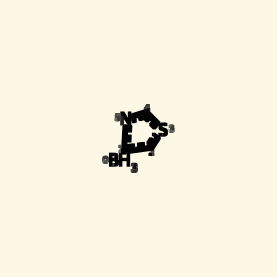 B.c1cscn1